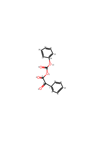 O=C(OC(=O)C(=O)c1ccccc1)Oc1ccccc1